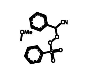 COC.N#CC(OOS(=O)(=O)c1ccccc1)c1ccccc1